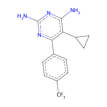 Nc1nc(N)c(C2CC2)c(-c2ccc(C(F)(F)F)cc2)n1